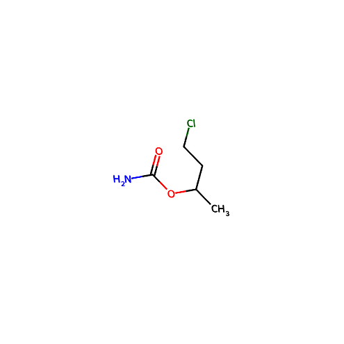 CC(CCCl)OC(N)=O